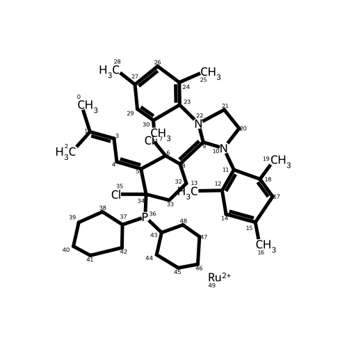 CC(C)=CC=C1C(Cl)C(=C2N(c3c(C)cc(C)cc3C)CCN2c2c(C)cc(C)cc2C)CCC1(Cl)P(C1CCCCC1)C1CCCCC1.[Ru+2]